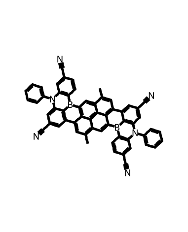 Cc1cc2c3c(cc4c(C)cc5c6c(cc1c3c46)B1c3ccc(C#N)cc3N(c3ccccc3)c3cc(C#N)cc-5c31)B1c3ccc(C#N)cc3N(c3ccccc3)c3cc(C#N)cc-2c31